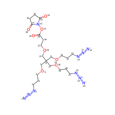 [N-]=[N+]=NCCCOCC(COCCCN=[N+]=[N-])(COCCCN=[N+]=[N-])COCCC(=O)ON1C(=O)CCC1=O